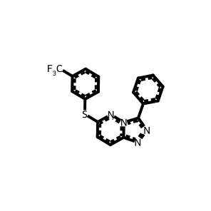 FC(F)(F)c1cccc(Sc2ccc3nnc(-c4ccccc4)n3n2)c1